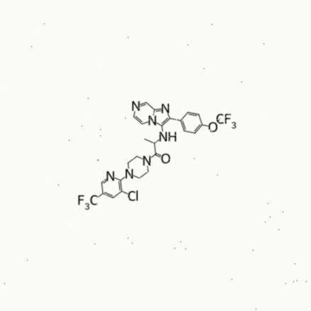 CC(Nc1c(-c2ccc(OC(F)(F)F)cc2)nc2cnccn12)C(=O)N1CCN(c2ncc(C(F)(F)F)cc2Cl)CC1